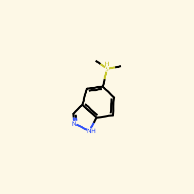 C[SH](C)c1ccc2[nH]ncc2c1